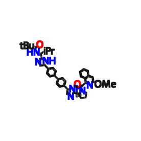 COc1cc2ccccc2c(C(=O)N2CCC[C@H]2c2ncc(-c3ccc(-c4ccc(-c5cnc(C(NC(=O)C(C)(C)C)C(C)C)[nH]5)cc4)cc3)[nH]2)n1